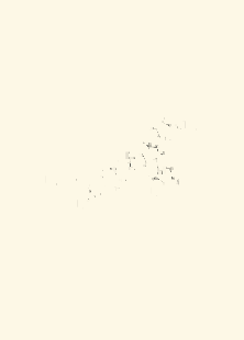 COCCN(C)CC1CCN(CC(=O)Nc2cc(-n3nc(C)cc3C)nc(-c3ccc(C)o3)n2)CC1